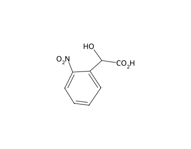 O=C(O)C(O)c1ccccc1[N+](=O)[O-]